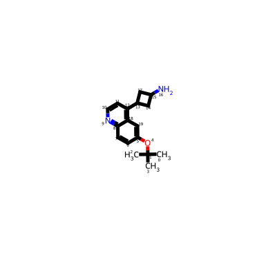 CC(C)(C)Oc1ccc2nccc(C3CC(N)C3)c2c1